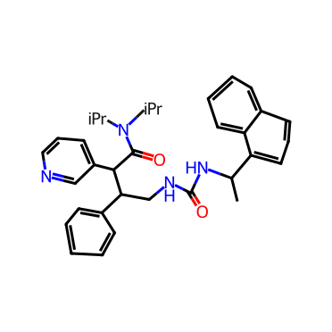 CC(NC(=O)NCC(c1ccccc1)C(C(=O)N(C(C)C)C(C)C)c1cccnc1)c1cccc2ccccc12